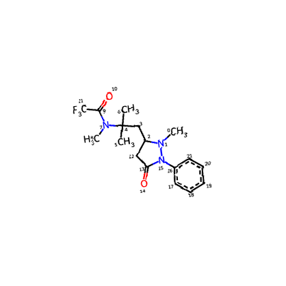 CN1C(CC(C)(C)N(C)C(=O)C(F)(F)F)CC(=O)N1c1ccccc1